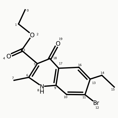 CCOC(=O)c1c(C)[nH]c2cc(Br)c(CC)cc2c1=O